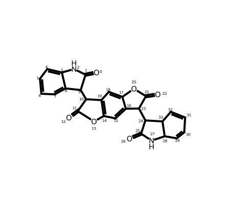 O=C1Nc2ccccc2C1C1C(=O)Oc2cc3c(cc21)OC(=O)C3C1C(=O)NC2C=CC=CC21